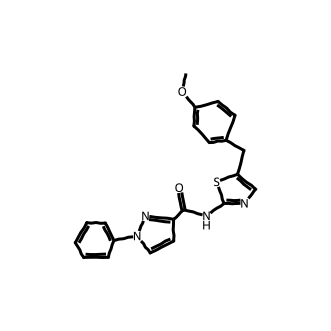 COc1ccc(Cc2cnc(NC(=O)c3ccn(-c4ccccc4)n3)s2)cc1